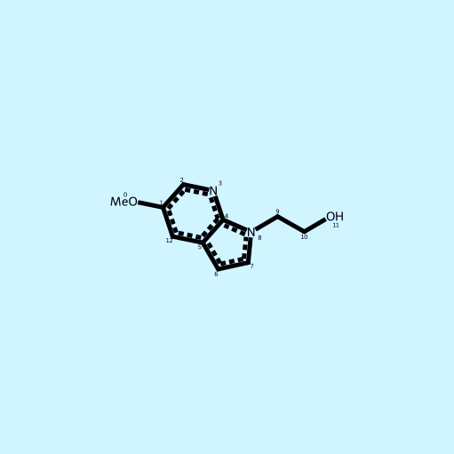 COc1cnc2c(ccn2CCO)c1